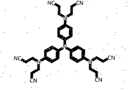 N#CCCN(CCC#N)c1ccc(N(c2ccc(N(CCC#N)CCC#N)cc2)c2ccc(N(CCC#N)CCC#N)cc2)cc1